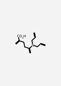 C=CCN(CC=C)C(=C)CCC(=C)C(=O)O